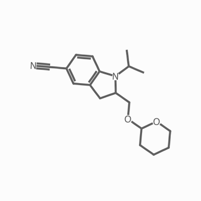 CC(C)N1c2ccc(C#N)cc2CC1COC1CCCCO1